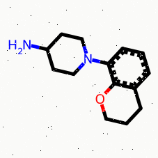 NC1CCN(c2cccc3c2OCCC3)CC1